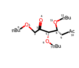 CCCCOCC(=O)[C@@H](OCCCC)[C@@H](CC(C)=O)OCCCC